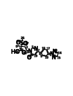 C[C@@](CCn1cnc(-c2ccc(-n3nccn3)cc2)cc1=O)(C(=O)O)S(C)(=O)=O